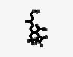 CC(C)(C)C(=O)C1=C(COC(=O)CCC(=O)O)CS(=O)(=O)[C@H]2[C@@H](Cl)C(=O)N12